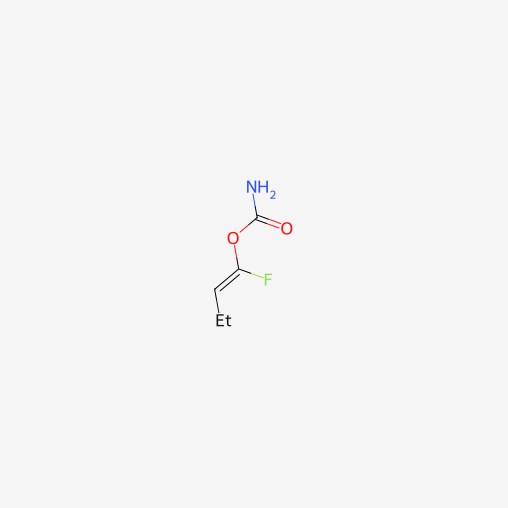 CC/C=C(\F)OC(N)=O